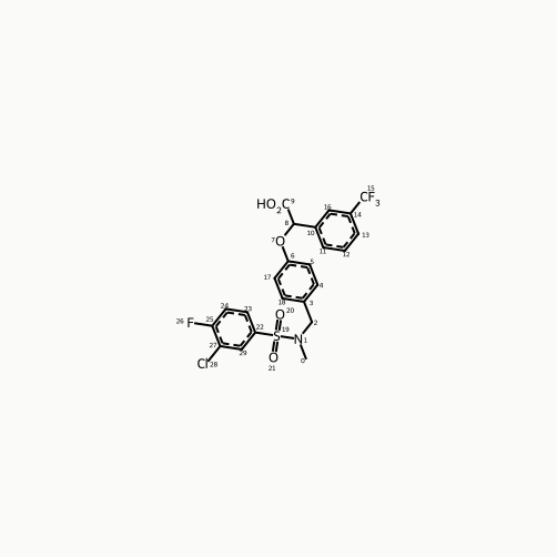 CN(Cc1ccc(OC(C(=O)O)c2cccc(C(F)(F)F)c2)cc1)S(=O)(=O)c1ccc(F)c(Cl)c1